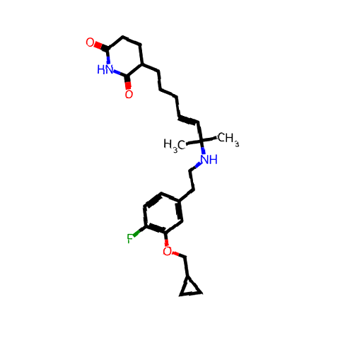 CC(C)(/C=C/CCCC1CCC(=O)NC1=O)NCCc1ccc(F)c(OCC2CC2)c1